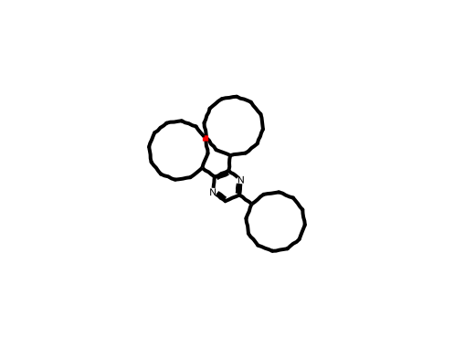 c1nc(C2CCCCCCCCCCC2)c(C2CCCCCCCCCCC2)nc1C1CCCCCCCCCCC1